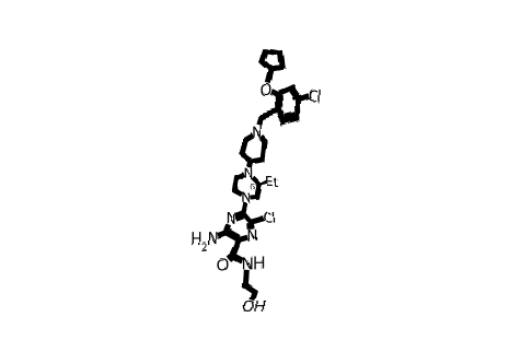 CC[C@H]1CN(c2nc(N)c(C(=O)NCCO)nc2Cl)CCN1C1CCN(Cc2ccc(Cl)cc2OC2CCCC2)CC1